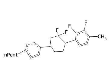 CCCCCc1ccc(C2CCC(c3ccc(C)c(F)c3F)C(F)(F)C2)cc1